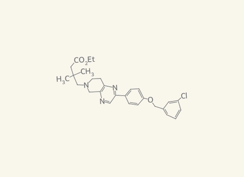 CCOC(=O)CC(C)(C)CN1CCc2nc(-c3ccc(OCc4cccc(Cl)c4)cc3)cnc2C1